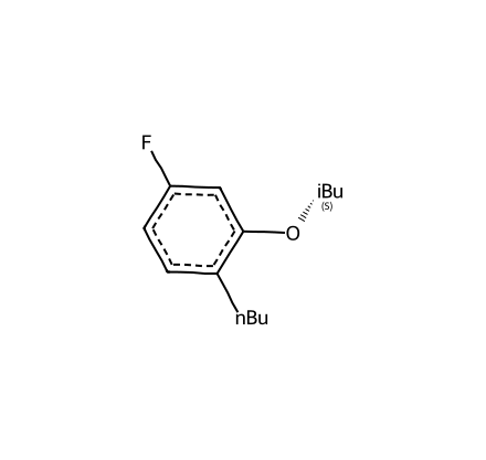 CCCCc1ccc(F)cc1O[C@@H](C)CC